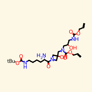 C=CCOC(=O)NC[C@@H](O)CN(CC1(O)CN(C(=O)[C@@H](N)CCCCNC(=O)OC(C)(C)C)C1)C(=O)OCC=C